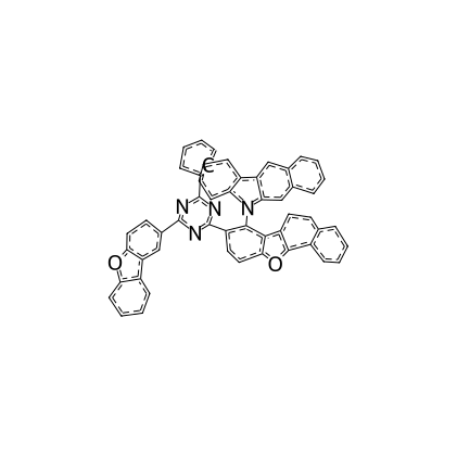 c1ccc(-c2nc(-c3ccc4oc5ccccc5c4c3)nc(-c3ccc4oc5c6ccccc6ccc5c4c3-n3c4ccccc4c4cc5ccccc5cc43)n2)cc1